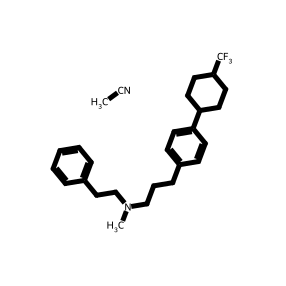 CC#N.CN(CCCc1ccc(C2CCC(C(F)(F)F)CC2)cc1)CCc1ccccc1